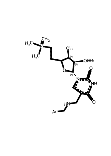 C=P(C)(C)CCC1O[C@@H](n2cc(CNCC(C)=O)c(=O)[nH]c2=O)[C@H](OC)[C@@H]1O